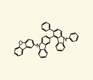 c1ccc(-c2ccc3c(c2-c2ccc4c(c2)c2ccccc2n4-c2ccc4oc5ccccc5c4c2)c2ccccc2n3-c2ccccc2)cc1